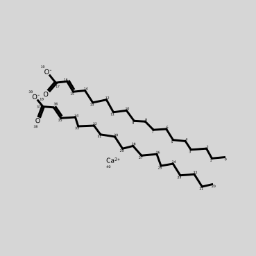 CCCCCCCCCCCCCCCC=CC(=O)[O-].CCCCCCCCCCCCCCCC=CC(=O)[O-].[Ca+2]